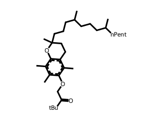 CCCCCC(C)CCCC(C)CCCC1(C)CCc2c(C)c(OCC(=O)C(C)(C)C)c(C)c(C)c2O1